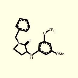 COc1cc(NC2CCN(Cc3ccccc3)C2=O)cc(OC(F)(F)F)c1